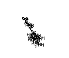 CCNC(=O)[C@@H](NC(=O)[C@H](CO)NC(=O)[C@H](CCCNC(=N)N)NC(=O)[C@H](CC(=O)O)NCC(=O)[C@@](C)(N)CSCCCCSC[C@](C)(NC(=O)OCC1c2ccccc2-c2ccccc21)C(=O)N[C@@H](C=O)C(C)C)[C@H](C)CC